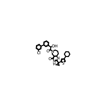 O=C(C(O)c1cccc(-c2cccc(Cl)c2)c1)N1CCCc2nc(C3(c4cc(C5CCCCC5)cs4)CC3)[nH]c(=O)c2C1